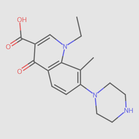 CCn1cc(C(=O)O)c(=O)c2ccc(N3CCNCC3)c(C)c21